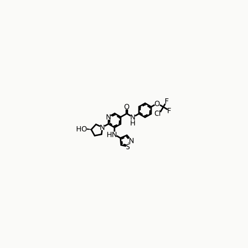 O=C(Nc1ccc(OC(F)(F)Cl)cc1)c1cnc(N2CC[C@@H](O)C2)c(Nc2cnsc2)c1